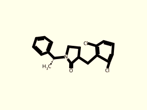 C[C@H](c1ccccc1)N1CCC(Cc2c(Cl)cccc2Cl)C1=O